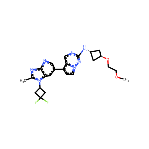 COCCO[C@H]1C[C@H](Nc2ncc3c(-c4cnc5nc(C)n(C6CC(F)(F)C6)c5c4)ccn3n2)C1